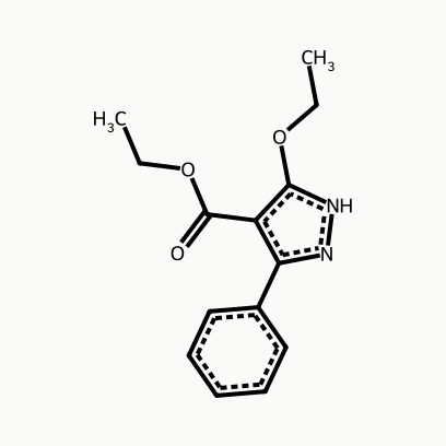 CCOC(=O)c1c(-c2ccccc2)n[nH]c1OCC